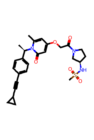 Cc1cc(OCC(=O)N2CC[C@@H](NS(C)(=O)=O)C2)cc(=O)n1[C@H](C)c1ccc(C#CC2CC2)cc1